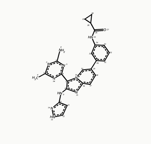 Cc1nc(N)nc(-c2c(Nc3cc[nH]n3)nc3ccc(-c4cccc(NC(=O)C5CC5)c4)cn23)n1